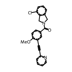 COc1ccc(C(=O)N2Cc3cccc(Cl)c3C2)cc1C#Cc1ccccn1